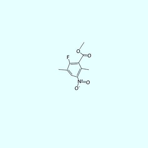 COC(=O)c1c(C)c([N+](=O)[O-])cc(C)c1F